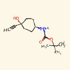 C#C[C@]1(O)CC[C@@H](NC(=O)OC(C)(C)C)CC1